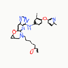 C=CC(=O)CCCCCN1CC2CC2Oc2cc3ncnc(Nc4ccc(Oc5ccc(C)nc5)c(C)c4)c3nc21